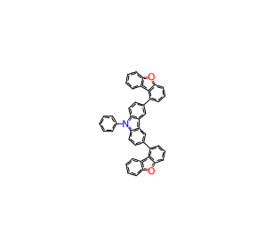 c1ccc(-n2c3ccc(-c4cccc5oc6ccccc6c45)cc3c3cc(-c4cccc5oc6ccccc6c45)ccc32)cc1